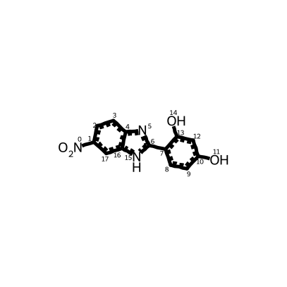 O=[N+]([O-])c1ccc2nc(-c3ccc(O)cc3O)[nH]c2c1